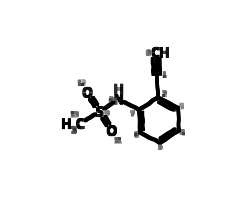 C#Cc1ccccc1NS(C)(=O)=O